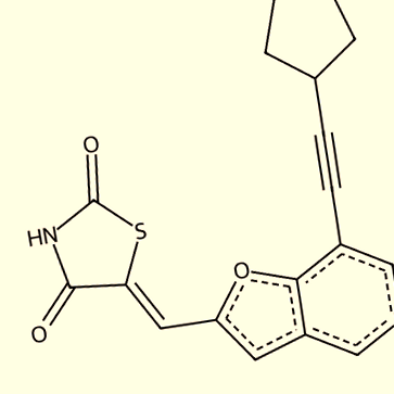 O=C1NC(=O)C(=Cc2cc3cncc(C#CC4CCCC4)c3o2)S1